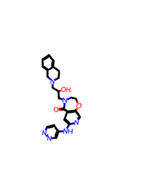 O=C1c2cc(Nc3ccnnc3)ncc2OCCN1CC(O)CN1CCc2ccccc2C1